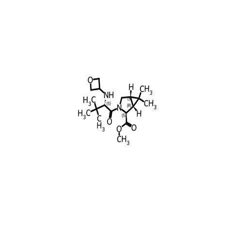 COC(=O)[C@@H]1[C@@H]2[C@H](CN1C(=O)[C@@H](NC1COC1)C(C)(C)C)C2(C)C